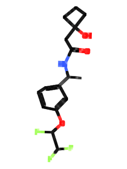 CC(NC(=O)CC1(O)CCC1)c1cccc(OC(F)C(F)F)c1